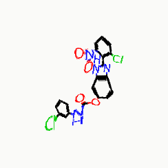 O=C(Nc1cccc(Cl)c1)Oc1ccc2nc(-c3c(Cl)cccc3[N+](=O)[O-])[nH]c2c1